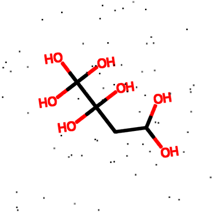 OC(O)CC(O)(O)C(O)(O)O